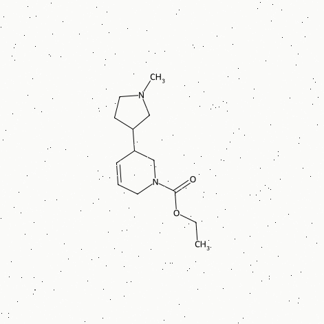 CCOC(=O)N1CC=CC(C2CCN(C)C2)C1